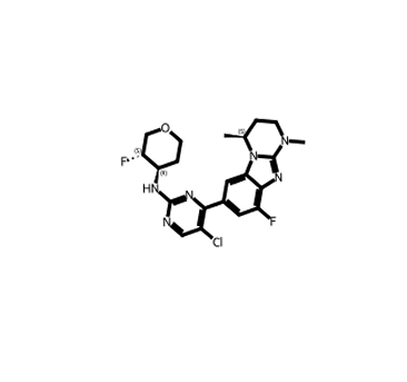 C[C@H]1CCN(C)c2nc3c(F)cc(-c4nc(N[C@@H]5CCOC[C@H]5F)ncc4Cl)cc3n21